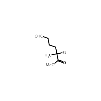 CCC(C)(CCCC=O)C(=O)OC